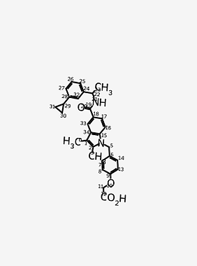 Cc1c(C)n(Cc2ccc(OCC(=O)O)cc2)c2ccc(C(=O)NC(C)c3cccc(C4CC4)c3)cc12